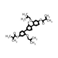 C=C(C)COc1cc(OC(=O)C(=C)C)ccc1-c1ccc(-c2ccc(OC(=O)C(=C)C)cc2OCC(=C)C)c(F)c1